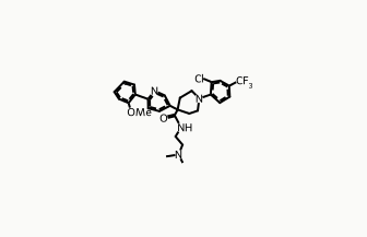 COc1ccccc1-c1ccc(C2(C(=O)NCCN(C)C)CCN(c3ccc(C(F)(F)F)cc3Cl)CC2)cn1